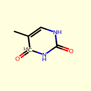 Cc1c[nH]c(=O)[nH][14c]1=O